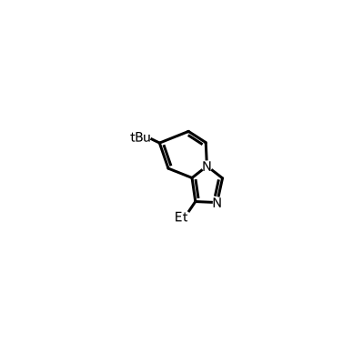 CCc1ncn2ccc(C(C)(C)C)cc12